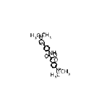 CCN(CC)c1ccc2cc(C(=O)Nc3ccc(N4CCC(N(C)C)C4)cc3)c(=O)oc2c1